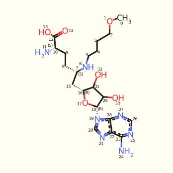 COCCCCN[C@@H](CC[C@H](N)C(=O)O)C[C@H]1O[C@@H](n2cnc3c(N)ncnc32)C(O)C1O